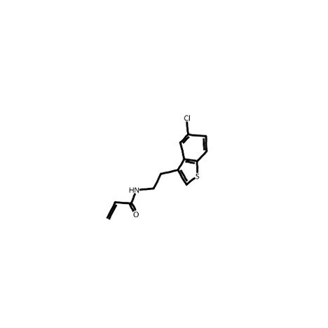 C=CC(=O)NCCc1csc2ccc(Cl)cc12